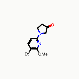 CCc1ccc(N2CCC(=O)C2)nc1OC